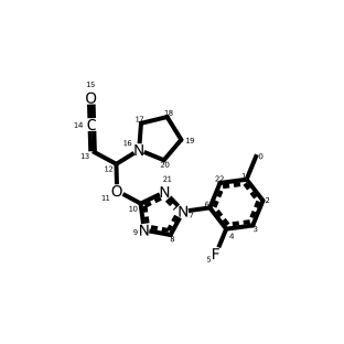 Cc1ccc(F)c(-n2cnc(OC(C=C=O)N3CCCC3)n2)c1